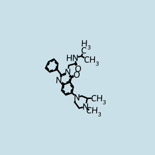 CC(C)NC(=O)Cn1c(-c2ccccc2)nc2ccc(N3CCN(C)C(C)C3)cc2c1=O